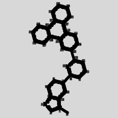 Cn1cnc2ccc(-c3cccc(-c4ccc5c6ccccc6c6ccccc6c5c4)n3)cc21